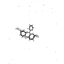 Oc1ccc2c(c1)C(c1ccccc1)c1cc(O)ccc1O2